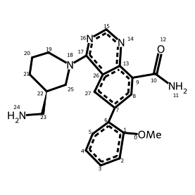 COc1ccccc1-c1cc(C(N)=O)c2ncnc(N3CCC[C@H](CN)C3)c2c1